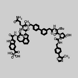 Cc1ncsc1-c1ccc(CNC(=O)[C@@H]2C[C@@H](O)CN2C(=O)[C@@H](NC(=O)Cc2cccc(-c3ccc(CO[C@H](C)[C@H](CCC(N)=O)NC(=O)[C@@H]4Cc5cccc6c5N4C(=O)[C@@H](NC(=O)c4cc5cc(C(=O)P(=O)(O)O)ccc5[nH]4)CC6)cc3)c2)C(C)(C)C)cc1